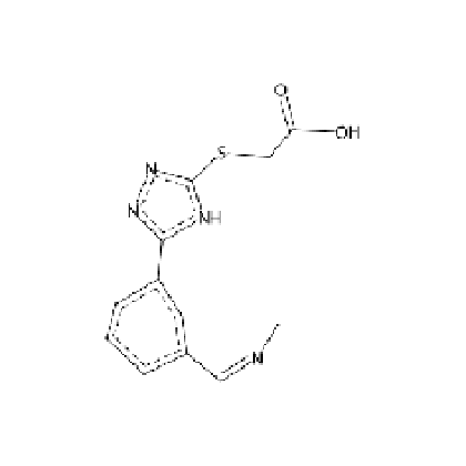 C/N=C\c1cccc(-c2nnc(SCC(=O)O)[nH]2)c1